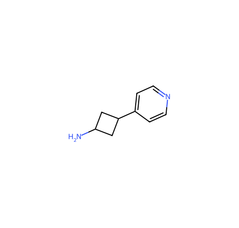 NC1CC(c2ccncc2)C1